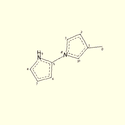 Cc1ccn(-c2ccc[nH]2)c1